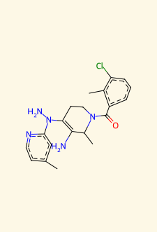 Cc1ccnc(N(N)C2=C(N)C(C)N(C(=O)c3cccc(Cl)c3C)CC2)c1